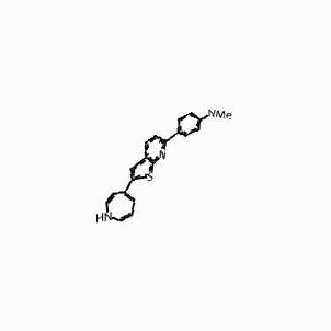 CNc1ccc(-c2ccc3cc(C4=CC=CNC=C4)sc3n2)cc1